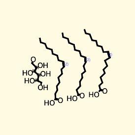 CCCCCCCC/C=C\CCCCCCCC(=O)O.CCCCCCCC/C=C\CCCCCCCC(=O)O.CCCCCCCC/C=C\CCCCCCCC(=O)O.O=C[C@H](O)[C@@H](O)[C@H](O)[C@H](O)CO